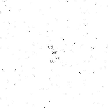 [Eu].[Gd].[La].[Sm]